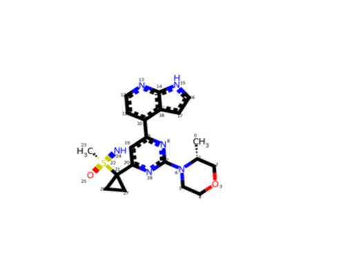 C[C@@H]1COCCN1c1nc(-c2ccnc3[nH]ccc23)cc(C2([S@](C)(=N)=O)CC2)n1